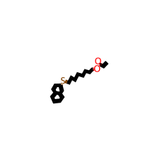 C=CC(=O)OCCCCCCCCSc1ccc2ccccc2c1